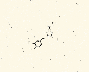 CCc1cc(CO[C@H]2CN(C(=O)OC(C)(C)C)C[C@@H]2N)ccc1Cl